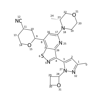 Cc1cc(-c2nsc3c(C4CC(C#N)CCO4)cc(N4CCOC[C@H]4C)nc23)n(C2CCO2)n1